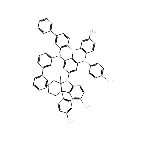 CC(C)(C)c1ccc(N2c3ccc(C(C)(C)C)cc3B3c4ccc(-c5ccccc5)cc4N(c4cccc(-c5ccccc5)c4)c4cc(N5c6ccc(C(C)(C)C)cc6C6(c7ccc(C(C)(C)C)cc7)CCCCC56C)cc2c43)cc1